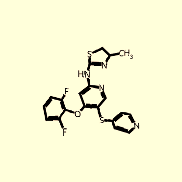 CC1CSC(Nc2cc(Oc3c(F)cccc3F)c(Sc3ccncc3)cn2)=N1